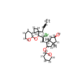 CCC#CCC1([C@H](OC2CCCCO2)C(Br)=C[C@H]2[C@H]3CC(=O)C[C@H]3C[C@H]2OC2CCCCO2)CCC1